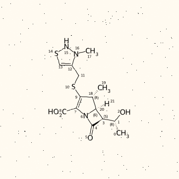 C[C@@H](O)[C@H]1C(=O)N2C(C(=O)O)=C(SCC3=CSNN3C)[C@H](C)[C@@H]12